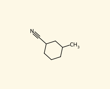 CC1CCCC(C#N)C1